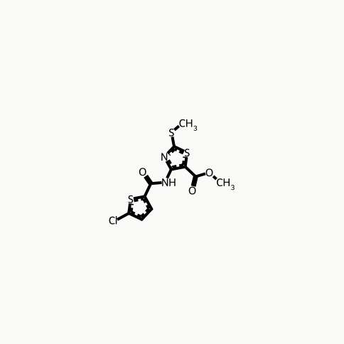 COC(=O)c1sc(SC)nc1NC(=O)c1ccc(Cl)s1